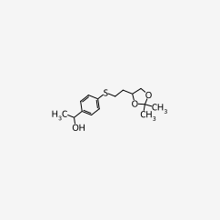 CC(O)c1ccc(SCCC2COC(C)(C)O2)cc1